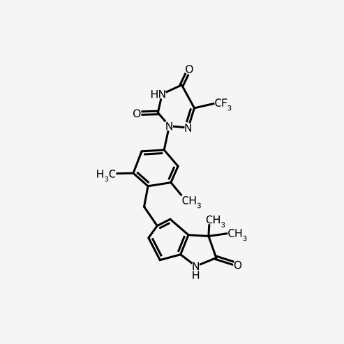 Cc1cc(-n2nc(C(F)(F)F)c(=O)[nH]c2=O)cc(C)c1Cc1ccc2c(c1)C(C)(C)C(=O)N2